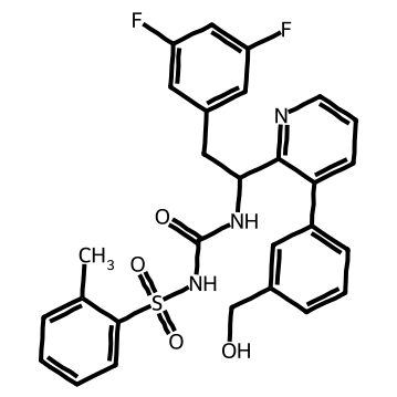 Cc1ccccc1S(=O)(=O)NC(=O)NC(Cc1cc(F)cc(F)c1)c1ncccc1-c1cccc(CO)c1